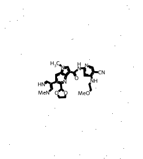 CN/C=C(\C=N)c1cc2c(nc1C1OCCO1)c(C(=O)Nc1cc(NCCOC)c(C#N)cn1)cn2C